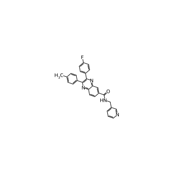 Cc1ccc(-c2nc3ccc(C(=O)NCc4cccnc4)cc3nc2-c2ccc(F)cc2)cc1